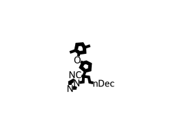 CCCCCCCCCCCCC(C#N)(Cn1ccnc1)c1cccc(Oc2cc(C)ccc2C)c1